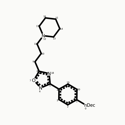 CCCCCCCCCCc1ccc(-c2noc(CCCN3CCCCC3)n2)cc1